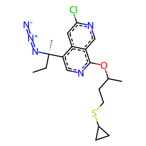 CC[C@@](C)(N=[N+]=[N-])c1cnc(OC(C)CCSC2CC2)c2cnc(Cl)cc12